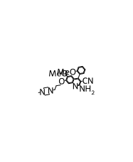 COc1cc2c(-c3ccccc3OC)c(C#N)c(N)nc2cc1OCCCN1CCN(C)CC1